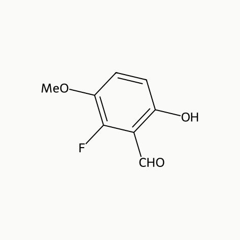 COc1ccc(O)c(C=O)c1F